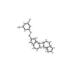 Fc1cc(I)cc(CCc2cc3ccc4c(c3s2)-c2ccc3ccsc3c2-4)c1